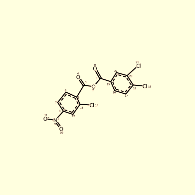 O=C(OC(=O)c1ccc([N+](=O)[O-])cc1Cl)c1ccc(Cl)c(Cl)c1